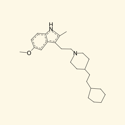 COc1ccc2[nH]c(C)c(CCN3CCC(CCC4CCCCC4)CC3)c2c1